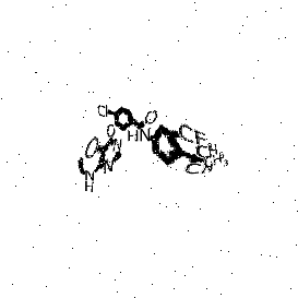 CC(C)(C#N)c1ccc(NC(=O)c2ccc(Cl)c(Oc3ncnc4c3OCCN4)c2)cc1C(F)(F)F